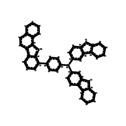 c1ccc2c(c1)ccc1c3cccc(-c4ccc(N(c5ccc6c(c5)sc5ccccc56)c5ccc6sc7ccccc7c6c5)cc4)c3sc21